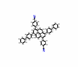 N#Cc1ccc(-c2cc(-c3ccc(-c4ccccc4)cc3)c3ccc4c(-c5ccc(C#N)cc5)cc(-c5ccc(-c6ccccc6)cc5)c5ccc2c3c45)cc1